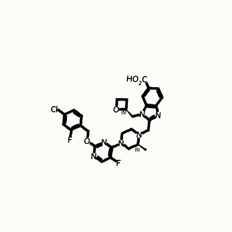 C[C@H]1CN(c2nc(OCc3ccc(Cl)cc3F)ncc2F)CCN1Cc1nc2ccc(C(=O)O)cc2n1C[C@@H]1CCO1